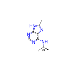 CC[C@H](C)Nc1ncnc2[nH]c(C)nc12